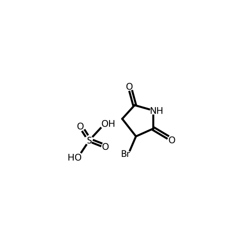 O=C1CC(Br)C(=O)N1.O=S(=O)(O)O